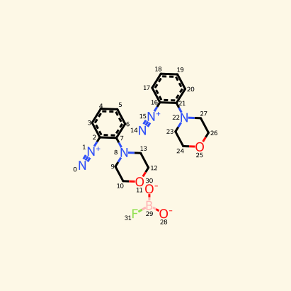 N#[N+]c1ccccc1N1CCOCC1.N#[N+]c1ccccc1N1CCOCC1.[O-]B([O-])F